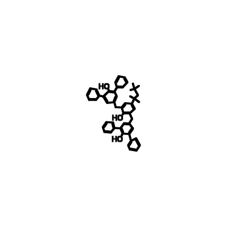 CC(C)(C)CC(C)(C)c1cc(Cc2cc(-c3ccccc3)c(O)c(-c3ccccc3)c2)c(O)c(Cc2cc(-c3ccccc3)c(O)c(-c3ccccc3)c2)c1